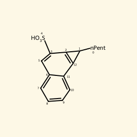 CCCCCC1c2c(S(=O)(=O)O)cc3ccccc3c21